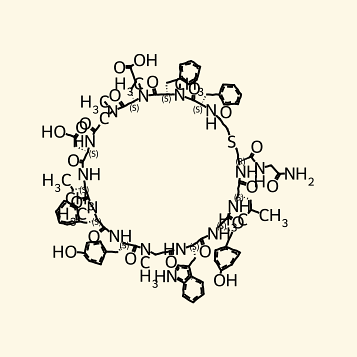 CC(C)C[C@@H]1NC(=O)[C@H](Cc2ccc(O)cc2)NC(=O)[C@H](Cc2c[nH]c3ccccc23)NC(=O)CN(C)C(=O)[C@H](Cc2ccc(O)cc2)NC(=O)[C@H](Cc2ccccc2)N(C)C(=O)[C@H](C(C)C)NC(=O)[C@H](CC(=O)O)NC(=O)CN(C)C(=O)[C@H](CCC(=O)O)N(C)C(=O)[C@H](Cc2ccccc2)N(C)C(=O)[C@H](Cc2ccccc2)NC(=O)CSC[C@@H](C(=O)NCC(N)=O)NC1=O